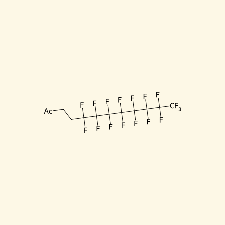 CC(=O)CCC(F)(F)C(F)(F)C(F)(F)C(F)(F)C(F)(F)C(F)(F)C(F)(F)C(F)(F)F